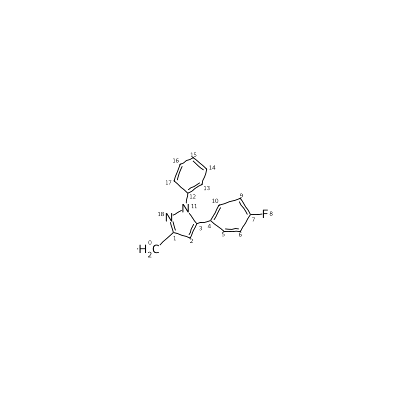 [CH2]c1cc(-c2ccc(F)cc2)n(-c2ccccc2)n1